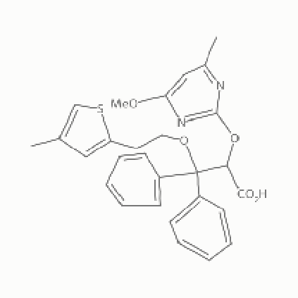 COc1cc(C)nc(OC(C(=O)O)C(OCCc2cc(C)cs2)(c2ccccc2)c2ccccc2)n1